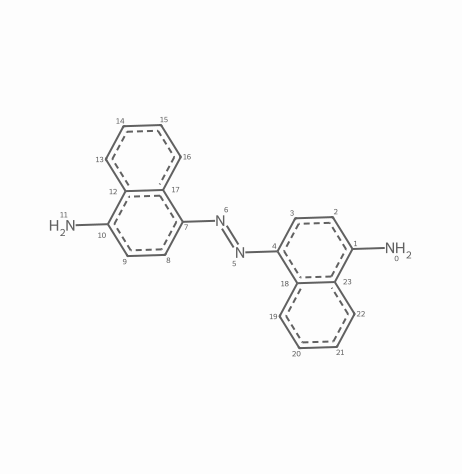 Nc1ccc(N=Nc2ccc(N)c3ccccc23)c2ccccc12